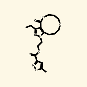 CCc1nn(CCOC(=O)c2cc(C)on2)c2c1C(=O)NCCCOCCC2